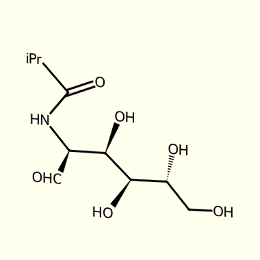 CC(C)C(=O)N[C@H](C=O)[C@@H](O)[C@H](O)[C@H](O)CO